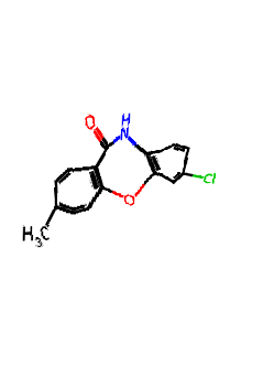 Cc1ccc2c(c1)Oc1cc(Cl)ccc1NC2=O